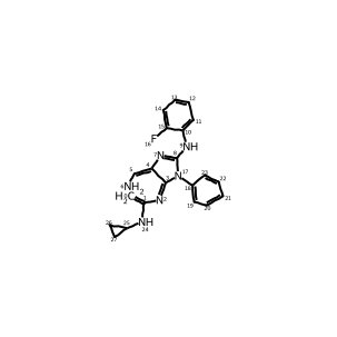 C=C(/N=C1\C(=C/N)N=C(Nc2ccccc2F)N1c1ccccc1)NC1CC1